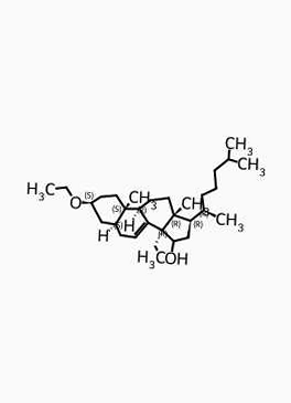 CCO[C@H]1CC[C@@]2(C)[C@@H](CC=C3[C@@H]2CC[C@]2(C)[C@@H]([C@H](C)CCCC(C)C)CC(O)[C@@]32CC)C1